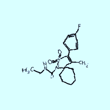 [CH2]C1=C(c2ccc(F)cc2)S(=O)(=O)N(C(=O)NCC)C12CCCCC2